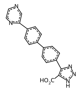 O=C(O)c1[nH]nnc1-c1ccc(-c2ccc(-c3cnccn3)cc2)cc1